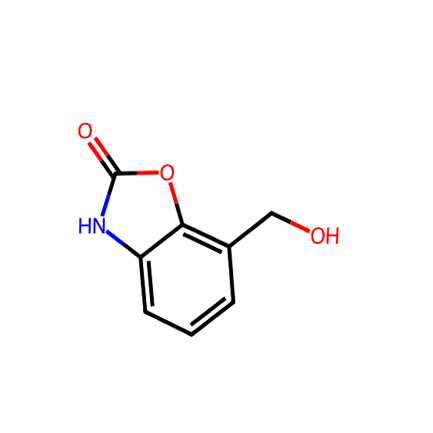 O=c1[nH]c2cccc(CO)c2o1